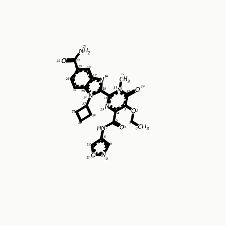 CCOc1c(C(=O)Nc2cnoc2)nc(-c2nc3cc(C(N)=O)ccc3n2C2CCC2)n(C)c1=O